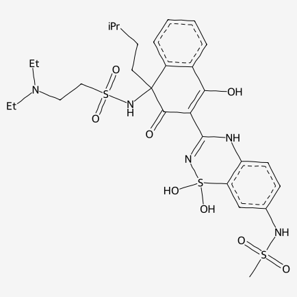 CCN(CC)CCS(=O)(=O)NC1(CCC(C)C)C(=O)C(C2=NS(O)(O)c3cc(NS(C)(=O)=O)ccc3N2)=C(O)c2ccccc21